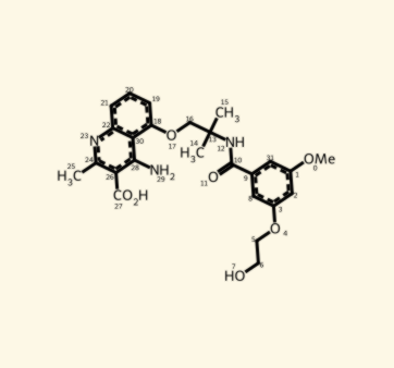 COc1cc(OCCO)cc(C(=O)NC(C)(C)COc2cccc3nc(C)c(C(=O)O)c(N)c23)c1